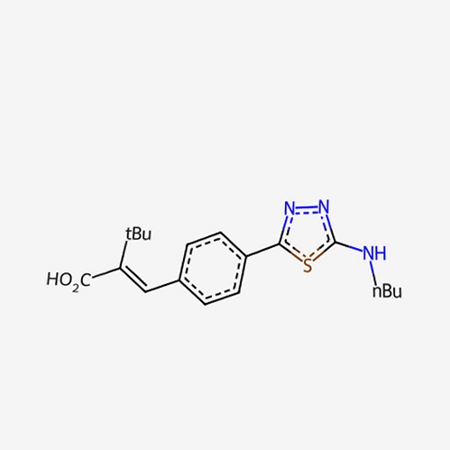 CCCCNc1nnc(-c2ccc(/C=C(/C(=O)O)C(C)(C)C)cc2)s1